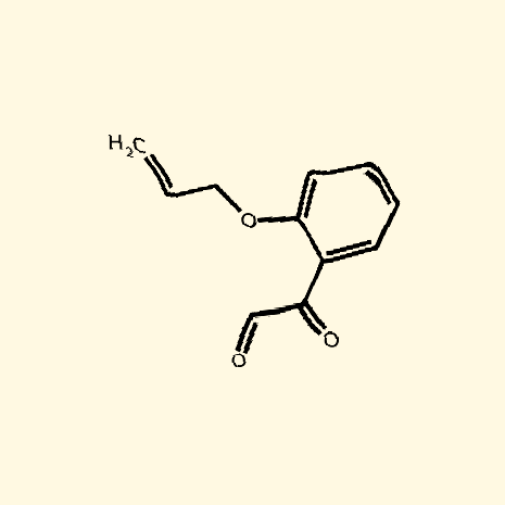 C=CCOc1ccccc1C(=O)C=O